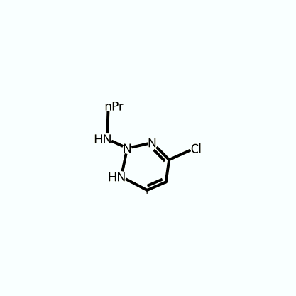 CCCNN1N=C(Cl)C=[C]N1